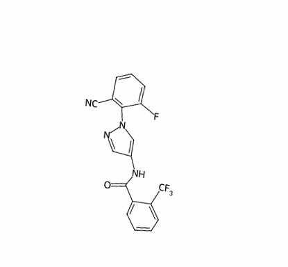 N#Cc1cccc(F)c1-n1cc(NC(=O)c2ccccc2C(F)(F)F)cn1